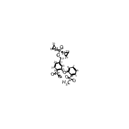 CS(=O)(=O)c1ccccc1Oc1cc(COP(=O)(N2CC2)N2CC2)ccc1[N+](=O)[O-]